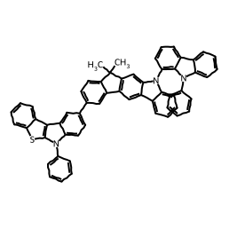 CC1(C)c2ccc(-c3ccc4c(c3)c3c5ccccc5sc3n4-c3ccccc3)cc2-c2cc3c4ccccc4n(-c4cccc5c6ccccc6n(-c6ccccc6)c45)c3cc21